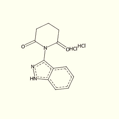 Cl.Cl.O=C1CCCC(=O)N1c1n[nH]c2ccccc12